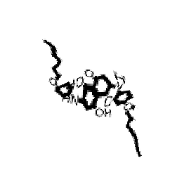 CCCCCCOc1ccc(NC2=CC(=O)c3c(O)c(Nc4ccc(OCCCCCC)cc4)cc(O)c3C2=O)cc1